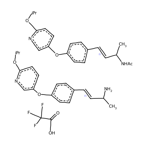 CC(=O)NC(C)/C=C/c1ccc(Oc2ccc(OC(C)C)nc2)cc1.CC(N)/C=C/c1ccc(Oc2ccc(OC(C)C)nc2)cc1.O=C(O)C(F)(F)F